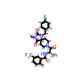 CC(C)[C@@H](NC(=O)c1cc(C(F)(F)F)ccc1F)C(=O)N1CCC2(CC1)C(=O)N(C)C(=O)N2Cc1ccc(F)cc1